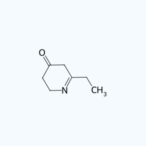 CCC1=NCCC(=O)C1